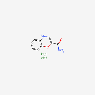 Cl.Cl.NC(=O)C1=CNc2ccccc2O1